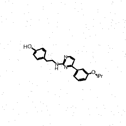 CC(C)Oc1cccc(-c2ccnc(NCCc3ccc(O)cc3)n2)c1